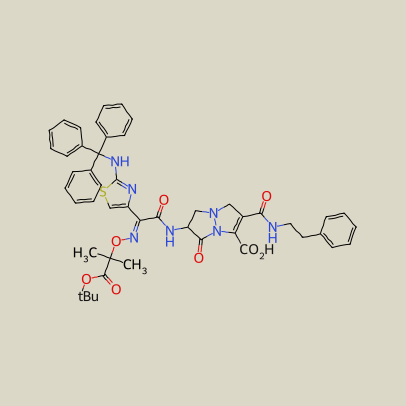 CC(C)(C)OC(=O)C(C)(C)ON=C(C(=O)NC1CN2CC(C(=O)NCCc3ccccc3)=C(C(=O)O)N2C1=O)c1csc(NC(c2ccccc2)(c2ccccc2)c2ccccc2)n1